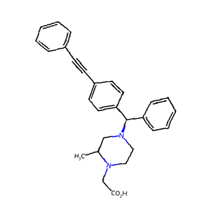 CC1CN([C@H](c2ccccc2)c2ccc(C#Cc3ccccc3)cc2)CCN1CC(=O)O